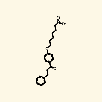 CCN(CC)CCCCCCOc1ccc(C(=O)CCc2ccccc2)cc1